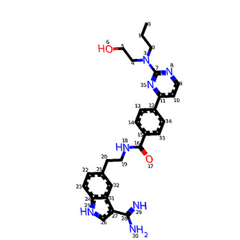 CCCN(CCO)c1nccc(-c2ccc(C(=O)NCCc3ccc4[nH]cc(C(=N)N)c4c3)cc2)n1